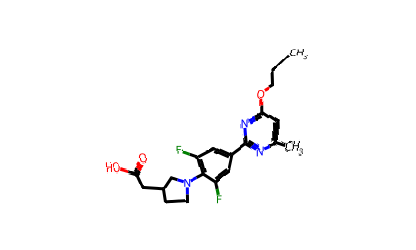 CCCOc1cc(C)nc(-c2cc(F)c(N3CCC(CC(=O)O)C3)c(F)c2)n1